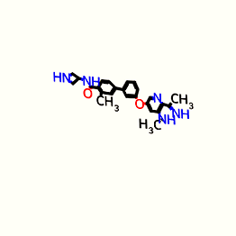 CNc1cc(Oc2cccc(-c3ccc(C(=O)NC4CNC4)c(C)c3)c2)cnc1C(C)=N